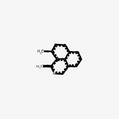 C=c1ncc2cccc3ccc(C)c1c32